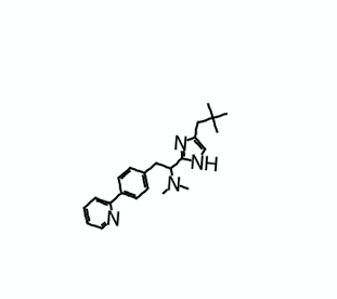 CN(C)C(Cc1ccc(-c2ccccn2)cc1)c1nc(CC(C)(C)C)c[nH]1